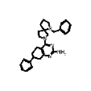 Nc1nc2c(c(N3CCC4(CCCN4Cc4ccccc4)C3)n1)CCC(c1ccccc1)C2